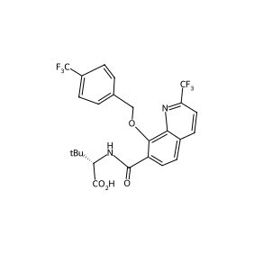 CC(C)(C)[C@H](NC(=O)c1ccc2ccc(C(F)(F)F)nc2c1OCc1ccc(C(F)(F)F)cc1)C(=O)O